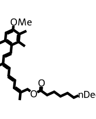 CCCCCCCCCCCCCCCC(=O)OCC(C)=CC=CC=C(C)C=Cc1c(C)cc(OC)c(C)c1C